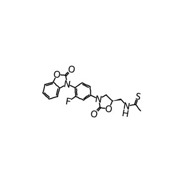 CC(=S)NC[C@@H]1CN(c2ccc(-n3c(=O)oc4ccccc43)c(F)c2)C(=O)O1